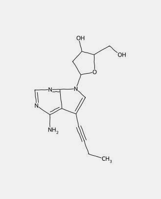 CCC#Cc1cn(C2CC(O)C(CO)O2)c2ncnc(N)c12